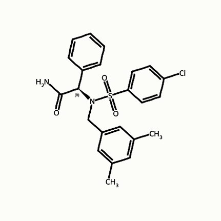 Cc1cc(C)cc(CN([C@@H](C(N)=O)c2ccccc2)S(=O)(=O)c2ccc(Cl)cc2)c1